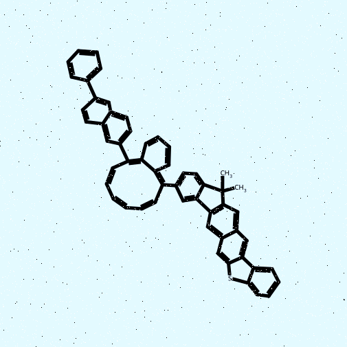 CC1(C)c2ccc(-c3ccccccc(-c4ccc5cc(-c6ccccc6)ccc5c4)c4ccccc34)cc2-c2cc3cc4sc5ccccc5c4cc3cc21